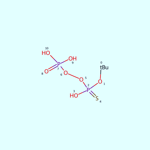 CC(C)(C)OP(O)(=S)OOP(=O)(O)O